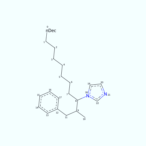 CCCCCCCCCCCCCCCCCC(C(C)Cc1ccccc1)n1ccnc1